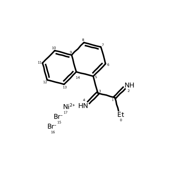 CCC(=N)C(=N)c1cccc2ccccc12.[Br-].[Br-].[Ni+2]